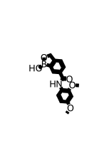 COc1ccc(NC(=O)c2ccc3c(c2)B(O)OC3)c(OC)c1